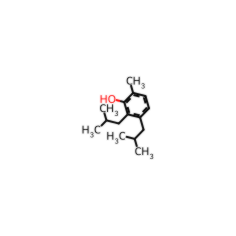 Cc1ccc(CC(C)C)c(CC(C)C)c1O